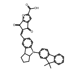 CC1(C)c2ccccc2-c2ccc(N3c4ccc(/C=C5\C(=O)c6cc(C(=O)O)oc6C5=O)cc4C4CCCC43)cc21